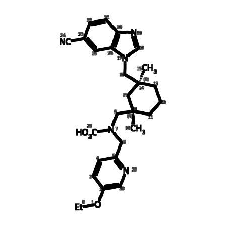 CCOc1ccc(CN(C[C@@]2(C)CCC[C@](C)(Cn3cnc4ccc(C#N)cc43)C2)C(=O)O)nc1